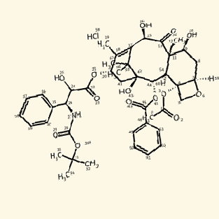 CC(=O)O[C@@]12CO[C@@H]1C[C@H](O)[C@@]1(C)C(=O)[C@H](O)C3=C(C)[C@@H](OC(=O)C(O)[C@@H](NC(=O)OC(C)(C)C)c4ccccc4)C[C@@](O)([C@@H](OC(=O)c4ccccc4)[C@H]21)C3(C)C.Cl